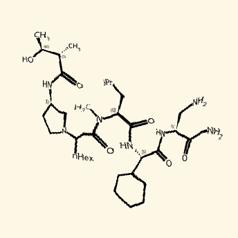 CCCCCCC(C(=O)N(C)[C@@H](CC(C)C)C(=O)N[C@H](C(=O)N[C@@H](CN)C(N)=O)C1CCCCC1)N1CC[C@@H](NC(=O)[C@@H](C)[C@H](C)O)C1